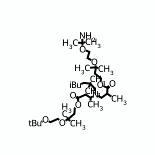 CCC(C)CC(C)(C)CN(CC(C)C(=O)OCCC(C)(C)OCCOC(C)(C)N)C(C)CC(=O)OCCC(C)(C)OCCOC(C)(C)C